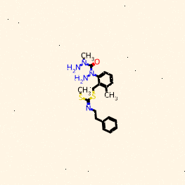 CS/C(=N/CCc1ccccc1)SCc1c(C)cccc1N(N)C(=O)N(C)N